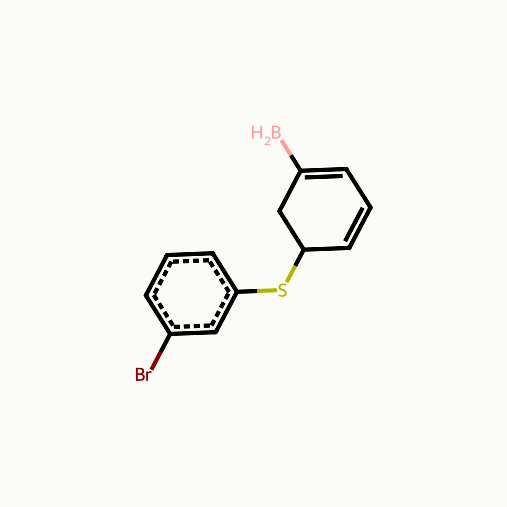 BC1=CC=CC(Sc2cccc(Br)c2)C1